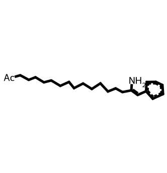 CC(=O)CCCCCCCCCCCCCCC(N)=Cc1ccccc1